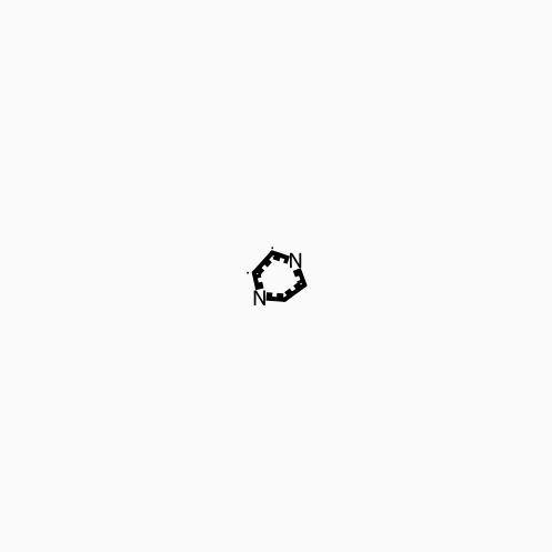 [c]1[c]nccn1